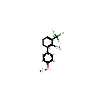 COc1ccc(C2=C(C)C(C(F)(F)F)=CC[CH]2)cc1